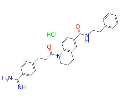 Cl.N=C(N)c1ccc(CCC(=O)N2CCCc3cc(C(=O)NCCc4ccccc4)ccc32)cc1